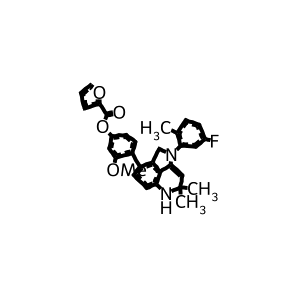 COc1cc(OC(=O)c2ccco2)ccc1-c1ccc2c3c1CN(c1cc(F)ccc1C)C3=CC(C)(C)N2